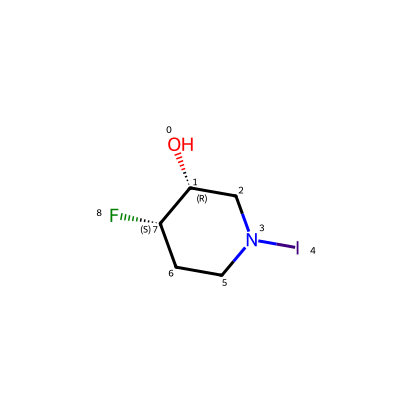 O[C@@H]1CN(I)CC[C@@H]1F